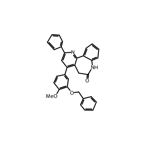 COc1ccc(-c2cc(-c3ccccc3)nc3c2CC(=O)Nc2ccccc2-3)cc1OCc1ccccc1